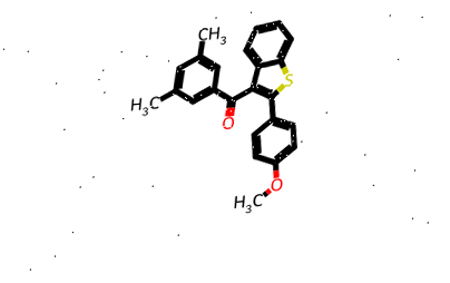 COc1ccc(-c2sc3ccccc3c2C(=O)c2cc(C)cc(C)c2)cc1